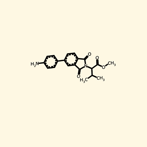 COC(=O)C(C(C)C)N1C(=O)c2ccc(-c3ccc(N)cc3)cc2C1=O